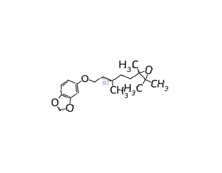 C/C(=C\COc1ccc2c(c1)OCO2)CCC1(C)OC1(C)C